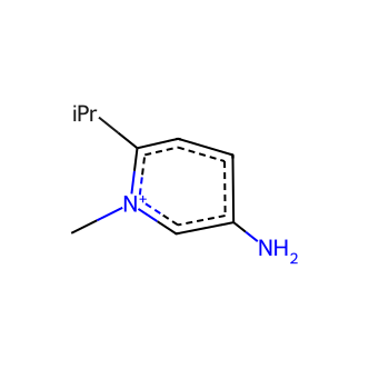 CC(C)c1ccc(N)c[n+]1C